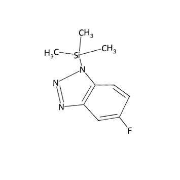 C[Si](C)(C)n1nnc2cc(F)ccc21